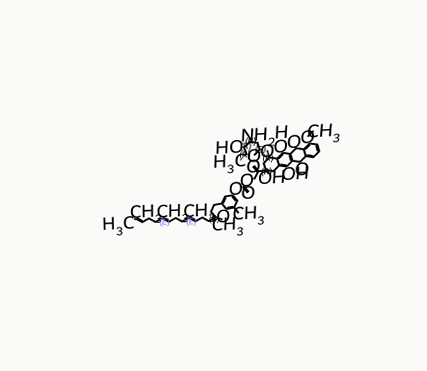 COc1cccc2c1C(=O)c1c(O)c3c(c(O)c1C2=O)C[C@](O)(C(=O)COC(=O)Oc1cc(C)c2c(c1)CC[C@@](C)(CC/C=C(\C)CC/C=C(\C)CCC=C(C)C)O2)C[C@H]3O[C@@H]1C[C@@H](N)[C@@H](O)[C@@H](C)O1